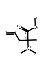 C=CCC(C)(C(=O)OC)N(C)C